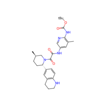 Cc1cc(NC(=O)C(=O)N2C[C@H](C)CC[C@H]2c2ccc3c(c2)CCCN3)cnc1NC(=O)OC(C)(C)C